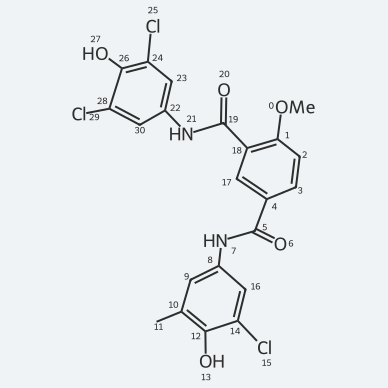 COc1ccc(C(=O)Nc2cc(C)c(O)c(Cl)c2)cc1C(=O)Nc1cc(Cl)c(O)c(Cl)c1